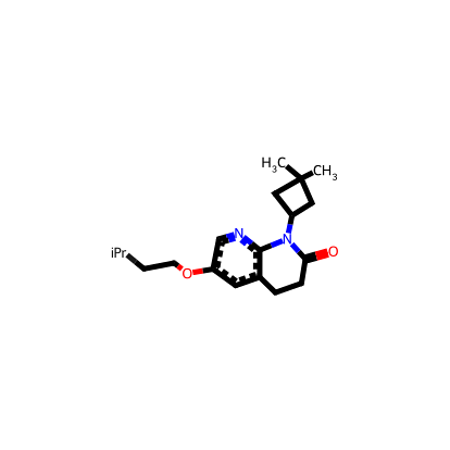 CC(C)CCOc1cnc2c(c1)CCC(=O)N2C1CC(C)(C)C1